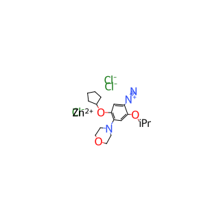 CC(C)Oc1cc(N2CCOCC2)c(OC2CCCC2)cc1[N+]#N.[Cl-].[Cl-].[Cl-].[Zn+2]